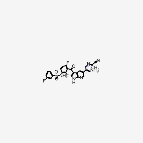 C=C(C#N)/N=C\C(=C/N)c1cnc2[nH]cc(C(=O)c3c(F)ccc(NS(=O)(=O)c4cccc(F)c4)c3F)c2c1